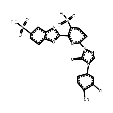 CCS(=O)(=O)c1ccc(-n2ncn(-c3ccc(C#N)c(Cl)c3)c2=O)nc1-c1nc2cc(S(=O)(=O)C(F)(F)F)ccc2o1